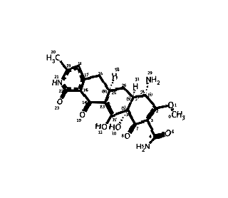 COC1=C(C(N)=O)C(=O)[C@@]2(O)C(O)=C3C(=O)c4c(cc(C)[nH]c4=O)C[C@H]3C[C@H]2[C@@H]1N